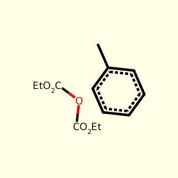 CCOC(=O)OC(=O)OCC.Cc1ccccc1